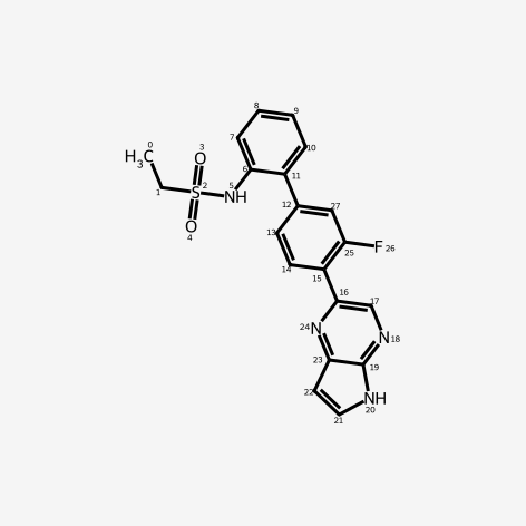 CCS(=O)(=O)Nc1ccccc1-c1ccc(-c2cnc3[nH]ccc3n2)c(F)c1